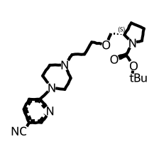 CC(C)(C)OC(=O)N1CCC[C@H]1COCCCN1CCN(c2ccc(C#N)cn2)CC1